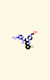 CC(Nc1ncnc(N)n1)c1cc2cccc(Cl)c2nc1N1CCN(CCO)CC1